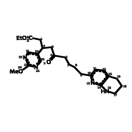 CCOC(=O)CC(CC(=O)CCCCc1ccc2c(n1)NCCC2)c1cnc(OC)nc1